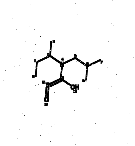 CCC(C)N(CC(C)C)C(O)=S=O